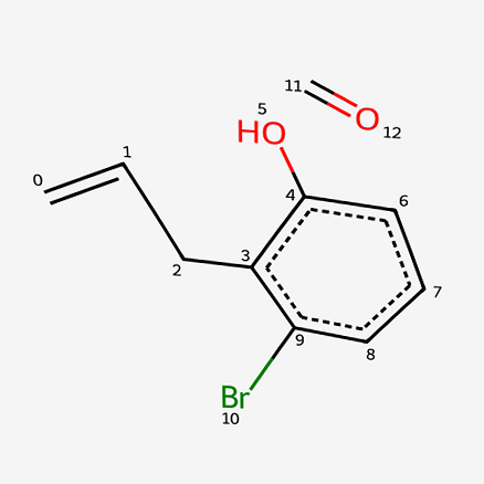 C=CCc1c(O)cccc1Br.C=O